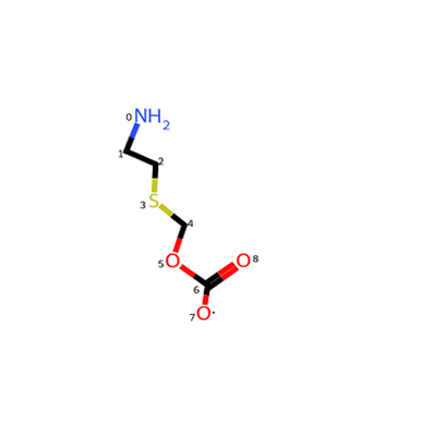 NCCSCOC([O])=O